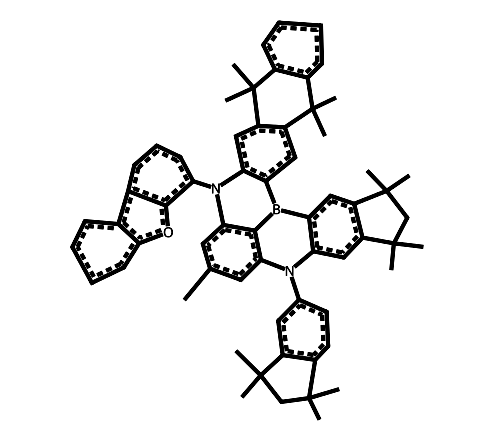 Cc1cc2c3c(c1)N(c1cccc4c1oc1ccccc14)c1cc4c(cc1B3c1cc3c(cc1N2c1ccc2c(c1)C(C)(C)CC2(C)C)C(C)(C)CC3(C)C)C(C)(C)c1ccccc1C4(C)C